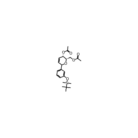 CC(=O)OC[C@H]1OC(c2cccc(O[Si](C)(C)C(C)(C)C)c2)C=C[C@@H]1OC(C)=O